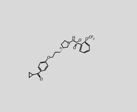 O=C(c1ccc(OCCC[C@@H]2CCN(NS(=O)(=O)c3ccccc3OC(F)(F)F)C2)cc1)C1CC1